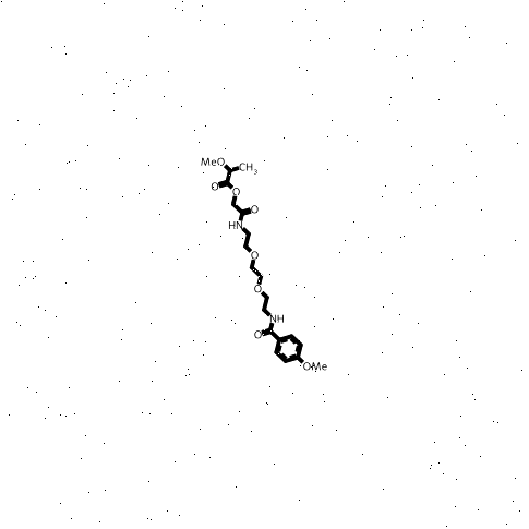 COc1ccc(C(=O)NCCOCCOCCNC(=O)COC(=O)C(C)OC)cc1